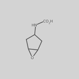 O=C(O)NC1CC2OC2C1